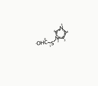 O=[C]Sn1ccnc1